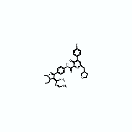 CCC1/C(=C(N)\N=C/N)C(c2ccc(NC(=O)c3nn(CC4CCOC4)cc(-c4ccc(F)cc4)c3=O)cc2)=NN1C